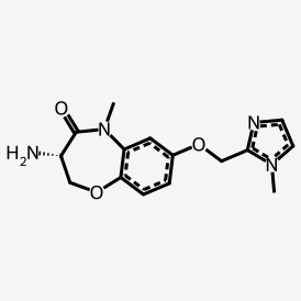 CN1C(=O)[C@@H](N)COc2ccc(OCc3nccn3C)cc21